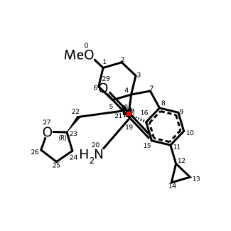 COC1CCC2(CC1)Cc1ccc(C3CC3)cc1[C@]21N=C(N)N(C[C@H]2CCCO2)C1=O